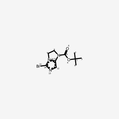 CC(C)(C)OC(=O)N1CCn2c1cnc2Br